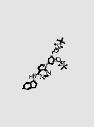 CC(C)(C)[Si](C)(C)OC[C@@H]1C[C@@H](n2ccc3c(N[C@H]4CCc5ccccc54)ncnc32)C[C@@H]1O[Si](C)(C)C(C)(C)C